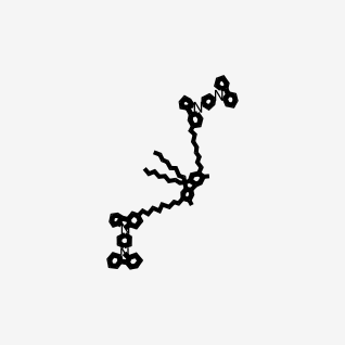 CCCCCCCCC1(CCCCCCCC)c2cc(CCCCCCCCc3ccc4c(c3)c3ccccc3n4-c3ccc(-n4c5ccccc5c5ccccc54)cc3)c(C)cc2-c2cc(C)c(CCCCCCCCc3ccc4c(c3)c3ccccc3n4-c3ccc(-n4c5ccccc5c5ccccc54)cc3)cc21